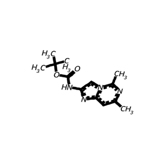 Cc1cc2nc(NC(=O)OC(C)(C)C)cn2c(C)n1